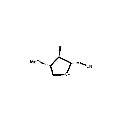 CO[C@H]1CN[C@@H](CC#N)[C@@H]1C